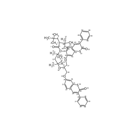 CC(C)(C)CC(C(=O)OC(C)(C)CC(C)(C)OC(COc1ccc2cc(-c3ccccc3)c(=O)sc2c1)COc1ccc2cc(-c3ccccc3)c(=O)sc2c1)C(C)(C)C